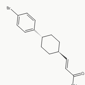 O=C(O)C=C[C@H]1CC[C@H](c2ccc(Br)cc2)CC1